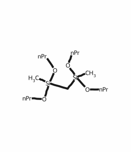 CCCO[Si](C)(C[Si](C)(OCCC)OCCC)OCCC